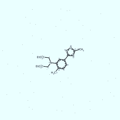 CCOC(=O)CN(CC(=O)OCC)c1cc(-c2noc(C)n2)ccc1C